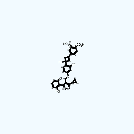 O=C(O)c1ccc(C2CC(O)(c3ccc(OCc4c(-c5c(Cl)cccc5Cl)noc4C4CC4)cc3Cl)C2)cc1C(=O)O